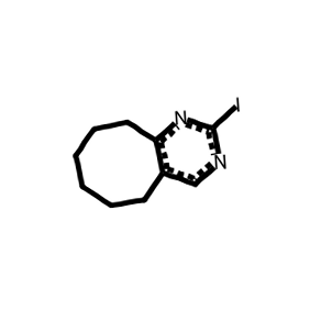 Ic1ncc2c(n1)CCCCCC2